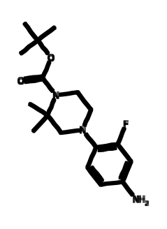 CC(C)(C)OC(=O)N1CCN(c2ccc(N)cc2F)CC1(C)C